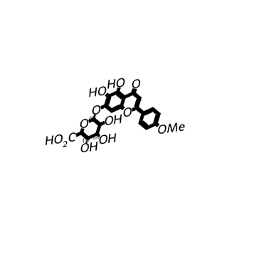 COc1ccc(-c2cc(=O)c3c(O)c(O)c(O[C@@H]4OC(C(=O)O)[C@@H](O)[C@H](O)C4O)cc3o2)cc1